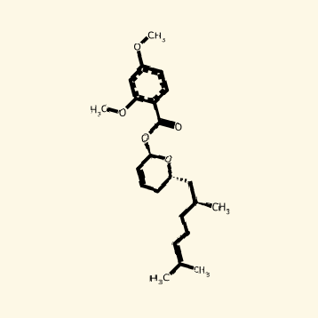 COc1ccc(C(=O)O[C@@H]2C=CC[C@@H](C[C@@H](C)CCC=C(C)C)O2)c(OC)c1